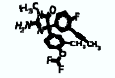 CC#Cc1cc([C@@]2(c3ccc(OC(F)F)c(C)c3)N=C(N)N(C)C2=O)ccc1F